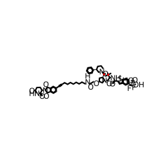 CC(C)(C)C(NC(=O)c1cc2cc(C(F)(F)P(=O)(O)O)ccc2s1)C(=O)N1C[C@@H](OCC(=O)NCCCCCCCCC#Cc2ccc3c(c2)C(=O)N(C2CCC(=O)NC2=O)C3=O)C[C@H]1C(=O)N1CCC[C@H](c2ccccc2)C1